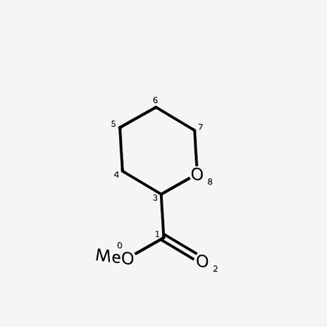 COC(=O)C1CCCCO1